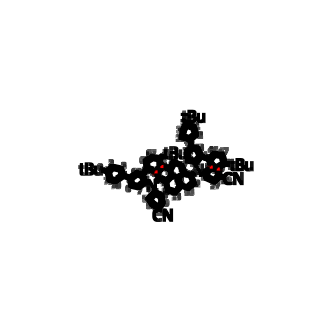 CC(C)(C)c1ccc(-c2ccc(N(C3=C4C=CC5=C6C(=CC=C(C=C3)C46)C(N(c3ccc(C#N)cc3)c3ccc(-c4ccc(C(C)(C)C)cc4)cc3-c3ccc(C(C)(C)C)cc3)C=C5)c3ccc(C#N)cc3)c(-c3ccc(C(C)(C)C)cc3)c2)cc1